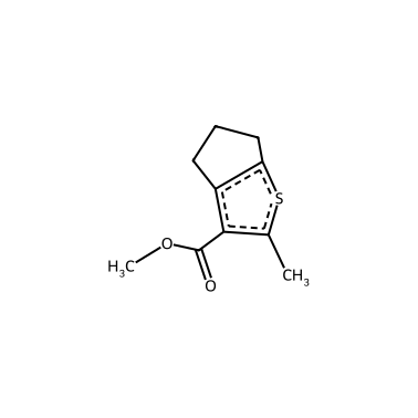 COC(=O)c1c(C)sc2c1CCC2